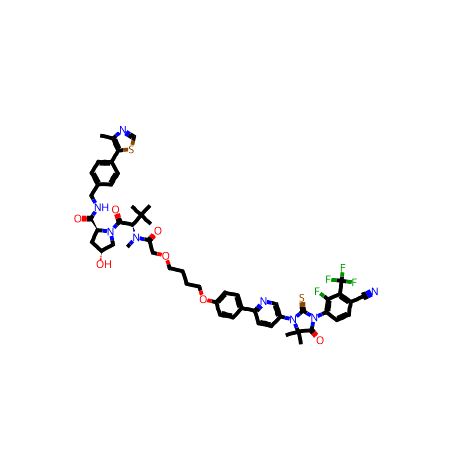 Cc1ncsc1-c1ccc(CNC(=O)[C@@H]2C[C@@H](O)CN2C(=O)[C@@H](N(C)C(=O)COCCCCOc2ccc(-c3ccc(N4C(=S)N(c5ccc(C#N)c(C(F)(F)F)c5F)C(=O)C4(C)C)cn3)cc2)C(C)(C)C)cc1